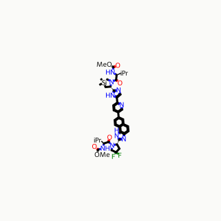 COC(=O)N[C@H](C(=O)N1C[Si](C)(C)C[C@H]1c1ncc(-c2ccc(-c3ccc4c(ccc5nc([C@@H]6CC(F)(F)CN6C(=O)[C@@H](NC(=O)OC)C(C)C)[nH]c54)c3)cn2)[nH]1)C(C)C